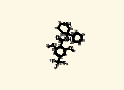 COc1cc(C(F)(F)F)cc(SC)c1C(=O)NC1(c2ccccc2)CCCNC1